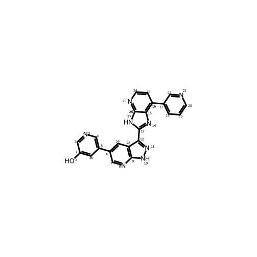 Oc1cncc(-c2cnc3[nH]nc(-c4nc5c(-c6cccnc6)ccnc5[nH]4)c3c2)c1